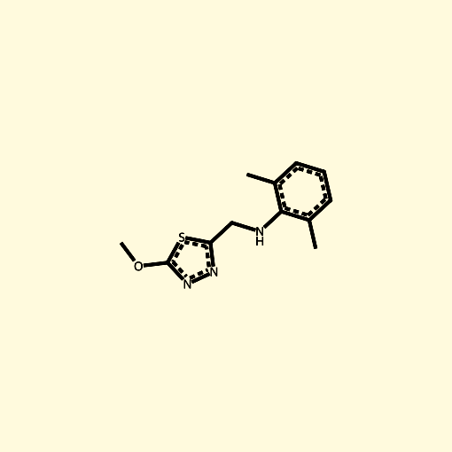 COc1nnc(CNc2c(C)cccc2C)s1